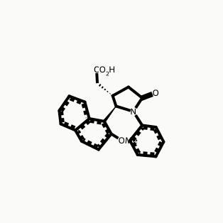 COc1ccc2ccccc2c1[C@H]1[C@H](CC(=O)O)CC(=O)N1c1ccccc1